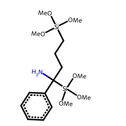 CO[Si](CCCC(N)(c1ccccc1)[Si](OC)(OC)OC)(OC)OC